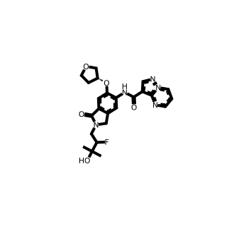 CC(C)(O)C(F)CN1Cc2cc(NC(=O)c3cnn4cccnc34)c(O[C@@H]3CCOC3)cc2C1=O